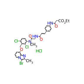 CCOC(=O)CC(=O)Nc1ccc(C=CC(=O)NCC(=O)N(C)c2ccc(Cl)c(COc3cccn4c(Br)c(C)nc34)c2Cl)cc1.Cl